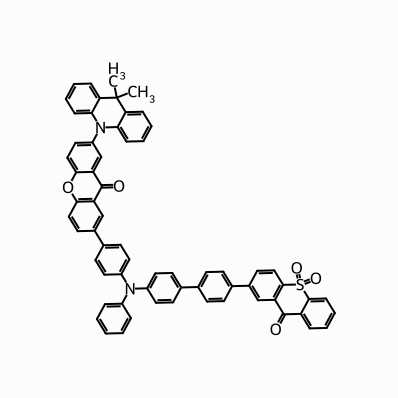 CC1(C)c2ccccc2N(c2ccc3oc4ccc(-c5ccc(N(c6ccccc6)c6ccc(-c7ccc(-c8ccc9c(c8)C(=O)c8ccccc8S9(=O)=O)cc7)cc6)cc5)cc4c(=O)c3c2)c2ccccc21